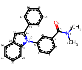 CN(C)C(=O)c1cccc(-n2c(-c3ccccc3)cc3ccccc32)c1